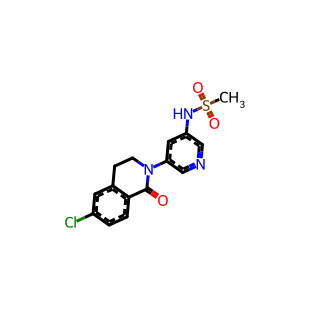 CS(=O)(=O)Nc1cncc(N2CCc3cc(Cl)ccc3C2=O)c1